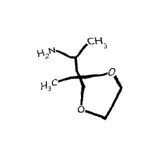 CC(N)C1(C)OCCO1